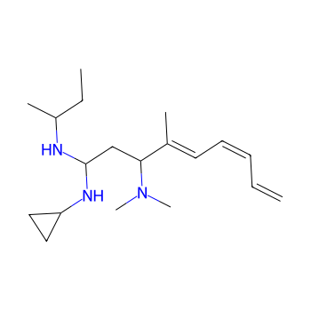 C=C/C=C\C=C(/C)C(CC(NC(C)CC)NC1CC1)N(C)C